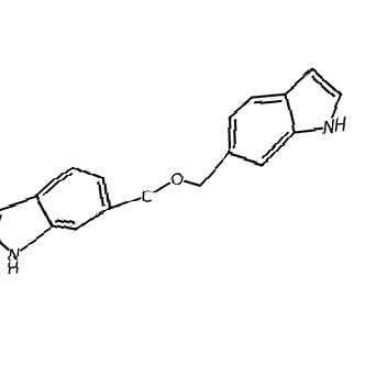 c1cc2ccc(COCc3ccc4cc[nH]c4c3)cc2[nH]1